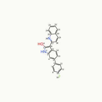 Oc1[nH]c2cc(-c3ccc(F)cc3)ccc2c1-c1ccc2ccccc2n1